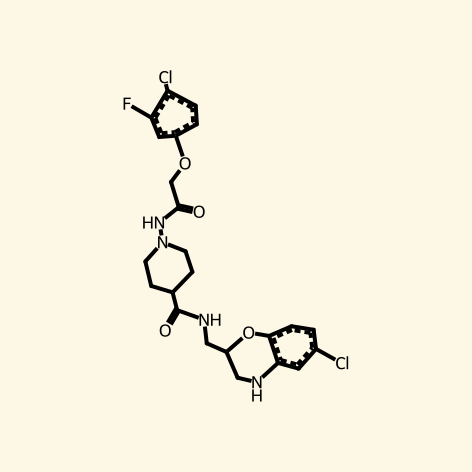 O=C(COc1ccc(Cl)c(F)c1)NN1CCC(C(=O)NCC2CNc3cc(Cl)ccc3O2)CC1